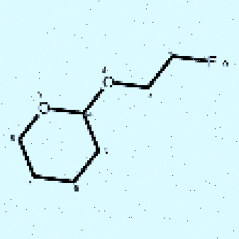 FCCOC1CCCCO1